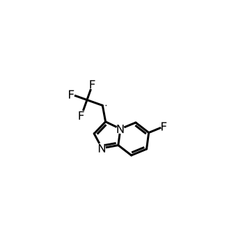 Fc1ccc2ncc([CH]C(F)(F)F)n2c1